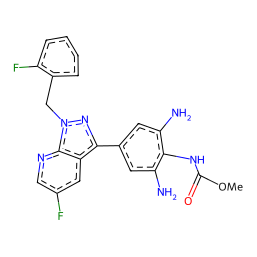 COC(=O)Nc1c(N)cc(-c2nn(Cc3ccccc3F)c3ncc(F)cc23)cc1N